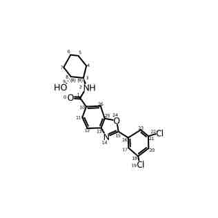 O=C(N[C@@H]1CCCC[C@H]1O)c1ccc2nc(-c3cc(Cl)cc(Cl)c3)oc2c1